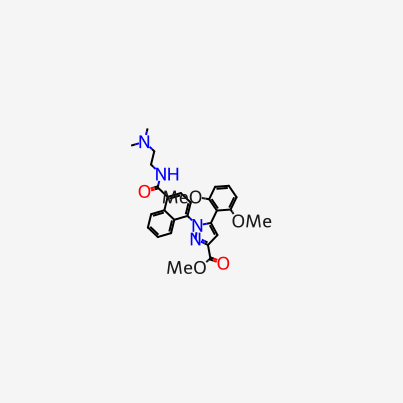 COC(=O)c1cc(-c2c(OC)cccc2OC)n(-c2ccc(C(=O)NCCN(C)C)c3ccccc23)n1